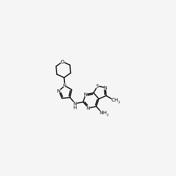 Cc1nsc2nc(Nc3cnn(C4CCOCC4)c3)nc(N)c12